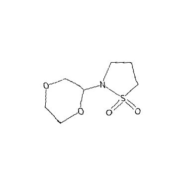 O=S1(=O)CCCN1C1COCCO1